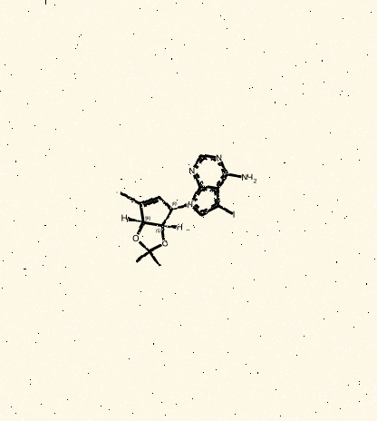 [CH2]C1=C[C@@H](n2cc(I)c3c(N)ncnc32)[C@@H]2OC(C)(C)O[C@H]12